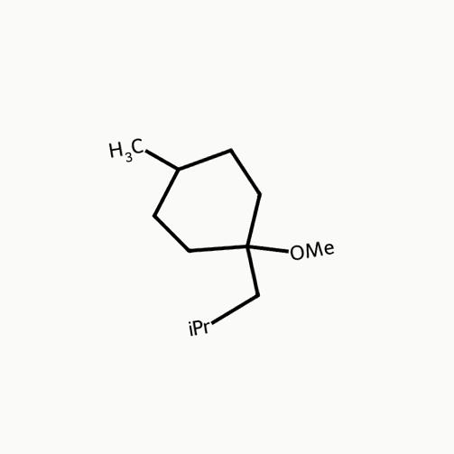 COC1(CC(C)C)CCC(C)CC1